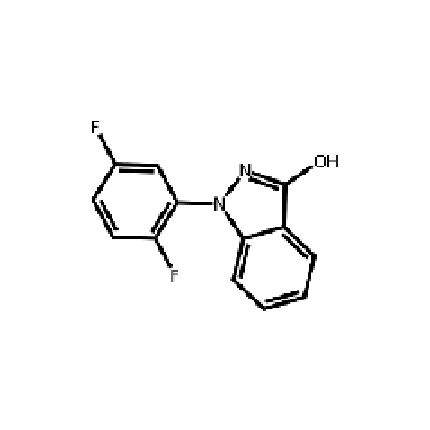 Oc1nn(-c2cc(F)ccc2F)c2ccccc12